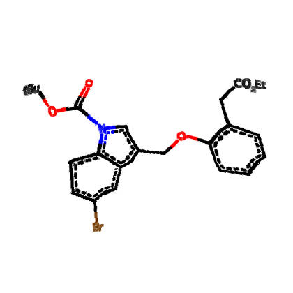 CCOC(=O)Cc1ccccc1OCc1cn(C(=O)OC(C)(C)C)c2ccc(Br)cc12